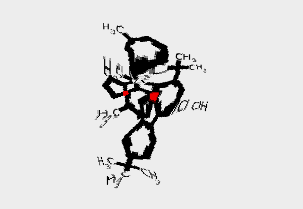 Cc1ccc[c]([Zr](=[SiH2])([C]2=CC=CC2)([c]2cccc(C)c2)[c]2c(C(C)(C)C)ccc3c2Cc2cc(C(C)(C)C)ccc2-3)c1.Cl.Cl